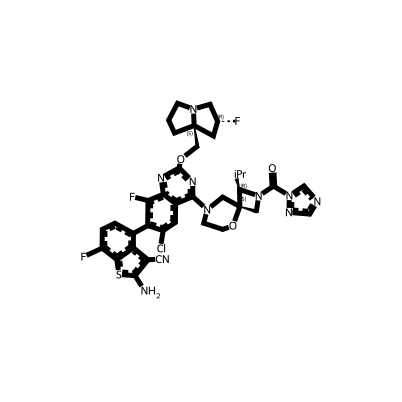 CC(C)[C@H]1N(C(=O)n2cncn2)C[C@@]12CN(c1nc(OC[C@@]34CCCN3C[C@H](F)C4)nc3c(F)c(-c4ccc(F)c5sc(N)c(C#N)c45)c(Cl)cc13)CCO2